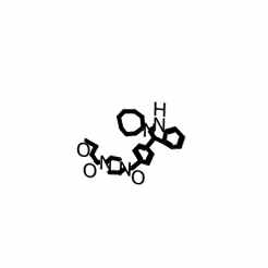 O=C(c1ccc(C2c3ccccc3NN2C2CCCCCCC2)cc1)N1CCN(C(=O)C2CCO2)CC1